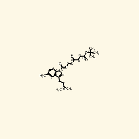 Cc1ccc2c(c1)c(CCN(C)C)cn2C(=O)OCOC(=O)CCC(=O)OC(C)(C)C